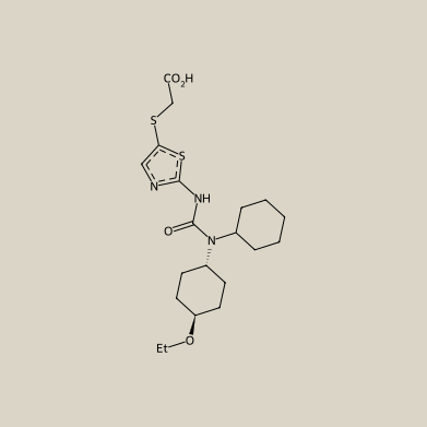 CCO[C@H]1CC[C@H](N(C(=O)Nc2ncc(SCC(=O)O)s2)C2CCCCC2)CC1